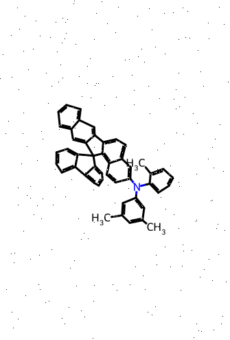 Cc1cc(C)cc(N(c2ccc3c4c(ccc3c2)-c2cc3ccccc3cc2C42c3ccccc3-c3ccccc32)c2ccccc2C)c1